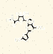 CCNC(=O)C1OC(n2cnc3c(NC)nc(-c4ccc(C#N)s4)nc32)C(O)C1O